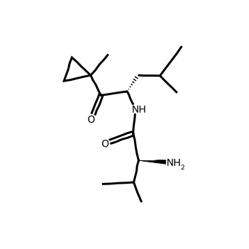 CC(C)C[C@H](NC(=O)[C@@H](N)C(C)C)C(=O)C1(C)CC1